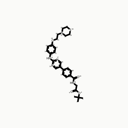 CC(C)(C)OC(=O)CNC(=O)c1ccc(-c2cnc(Nc3ccc(OCCN4CCSCC4)cc3)nc2)cc1